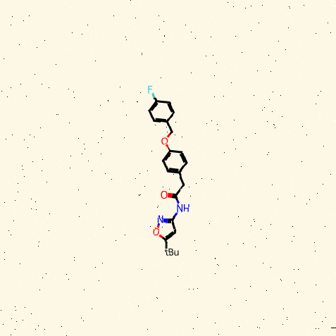 CC(C)(C)c1cc(NC(=O)Cc2ccc(OCc3ccc(F)cc3)cc2)no1